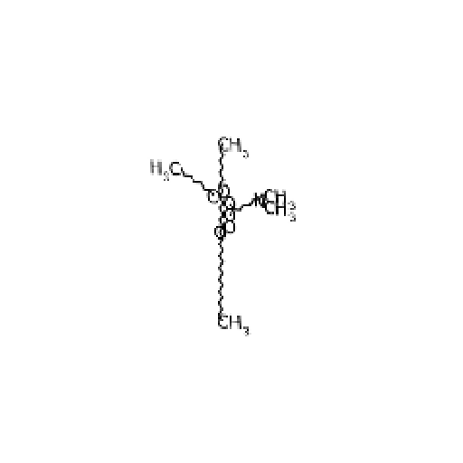 CCCCCCCCCCCCCCCOC(=O)CC(CCC(OCCCCCCCC)OCCCCCCCC)OC(=O)CCCCN(CC)CC